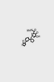 CNC(=O)c1nn(CC2(c3cccc(-c4ccn[nH]4)c3)CCCC2)cc(O)c1=O